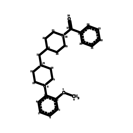 COc1ccccc1N1CCN(CC2CCN(C(=O)c3ccccc3)CC2)CC1